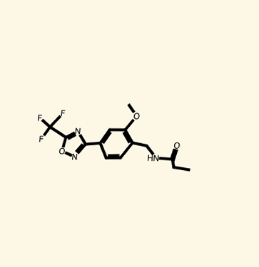 CCC(=O)NCc1ccc(-c2noc(C(F)(F)F)n2)cc1OC